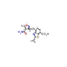 COc1ccc(C(=O)O)c2sc(C3CC3)nc12.Cc1noc(C)c1C(N)=O